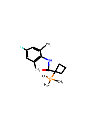 Cc1cc(F)cc(C)c1NC(=O)C1([PH](C)(C)C)CCC1